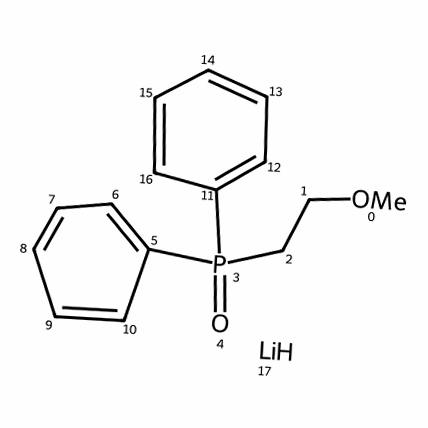 COCCP(=O)(c1ccccc1)c1ccccc1.[LiH]